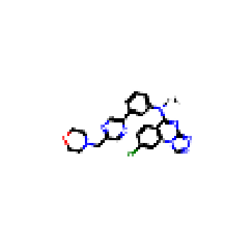 CN(c1cccc(-c2cnc(CN3CCOCC3)cn2)c1)c1nc2nncn2c2cc(Cl)ccc12